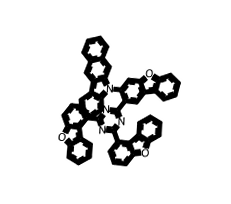 c1ccc2cc3c(cc2c1)c1ccccc1n3-c1cc2oc3ccccc3c2cc1-c1nc(-c2cccc3oc4ccccc4c23)nc(-c2cccc3oc4ccccc4c23)n1